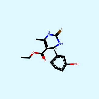 CCOC(=O)C1=C(C)NC(=S)N[C@H]1c1cccc(O)c1